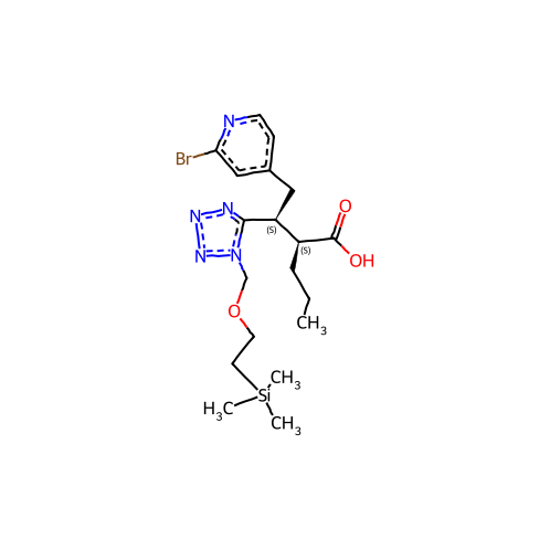 CCC[C@H](C(=O)O)[C@H](Cc1ccnc(Br)c1)c1nnnn1COCC[Si](C)(C)C